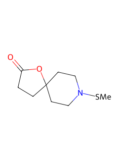 CSN1CCC2(CCC(=O)O2)CC1